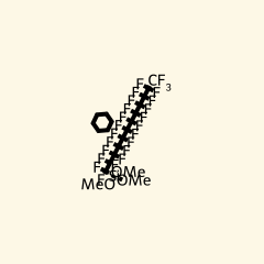 C1CCCCC1.CO[Si](OC)(OC)C(F)(F)C(F)(F)C(F)(F)C(F)(F)C(F)(F)C(F)(F)C(F)(F)C(F)(F)C(F)(F)C(F)(F)C(F)(F)C(F)(F)F